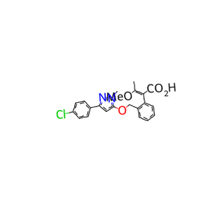 CO/C(C)=C(/C(=O)O)c1ccccc1COc1cc(-c2ccc(Cl)cc2)nn1C